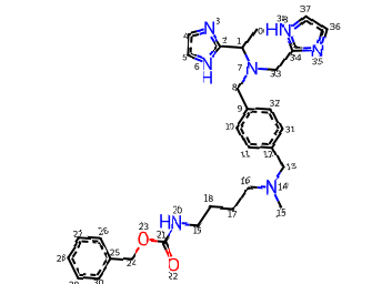 CC(c1ncc[nH]1)N(Cc1ccc(CN(C)CCCCNC(=O)OCc2ccccc2)cc1)Cc1ncc[nH]1